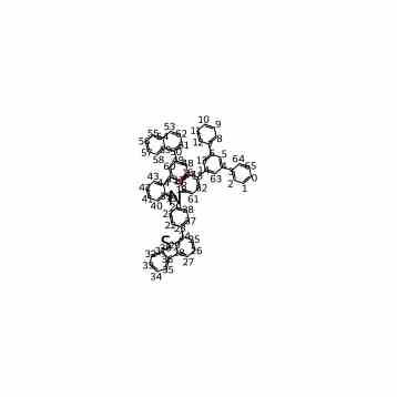 c1ccc(-c2cc(-c3ccccc3)cc(-c3ccc(N(c4ccc(-c5cccc6c5sc5ccccc56)cc4)c4ccccc4-c4cccc(-c5cccc6ccccc56)c4)cc3)c2)cc1